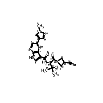 Cn1cc(-c2cnc3[nH]cc(C(=O)N[C@@H](C(=O)N4CC(C#N)C4)C(C)(C)C)c3n2)cn1